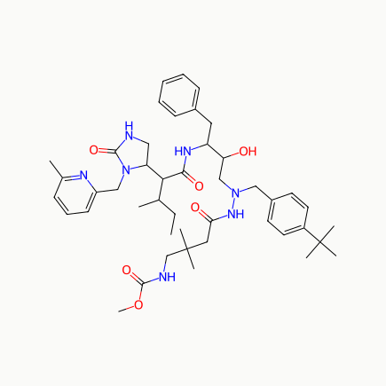 CCC(C)C(C(=O)NC(Cc1ccccc1)C(O)CN(Cc1ccc(C(C)(C)C)cc1)NC(=O)CC(C)(C)CNC(=O)OC)C1CNC(=O)N1Cc1cccc(C)n1